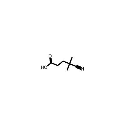 CC(C)(C#N)CCC(=O)O